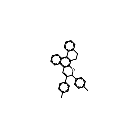 Cc1ccc(C2=Cc3c(c4c(c5ccccc35)-c3ccccc3CC4)OC2c2ccc(C)cc2)cc1